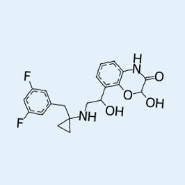 O=C1Nc2cccc(C(O)CNC3(Cc4cc(F)cc(F)c4)CC3)c2OC1O